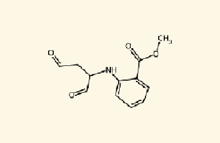 COC(=O)c1ccccc1NC(C=O)CC=O